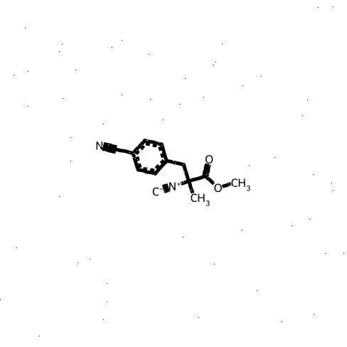 [C-]#[N+]C(C)(Cc1ccc(C#N)cc1)C(=O)OC